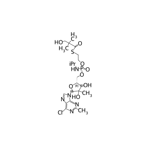 Cc1nc(Cl)c2ncn([C@@H]3O[C@H](COP(=O)(NC(C)C)OCCSC(=O)C(C)(C)CO)[C@H](O)C3(C)O)c2n1